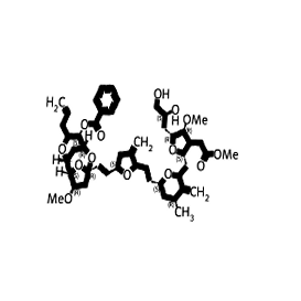 C=CCC1O[C@@H]2C[C@@H](O[C@@]3(CC[C@H]4CC(=C)C(CC[C@H]5C[C@@H](C)C(=C)C(C[C@@H]6O[C@H](C[C@H](O)CO)[C@H](OC)C6CC(=O)OC)O5)O4)C[C@@H](OC)[C@@H]2O3)[C@H]1OC(=O)c1ccccc1